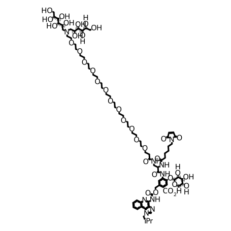 CC(C)Cn1cnc2c(NC(=O)OCc3ccc(O[C@@H]4O[C@H](C(=O)O)[C@@H](O)[C@H](O)[C@H]4O)c(NC(=O)C(CNC(=O)CCOCCOCCOCCOCCOCCOCCOCCOCCOCCOCCOCCOCCN(C[C@H](O)[C@@H](O)[C@H](O)[C@H](O)CO)C[C@H](O)[C@@H](O)[C@H](O)[C@H](O)CO)NC(=O)CCCCCN4C(=O)C=CC4=O)c3)nc3ccccc3c21